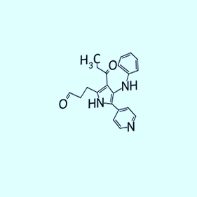 CCC(=O)c1c(CCC=O)[nH]c(-c2ccncc2)c1Nc1ccccc1